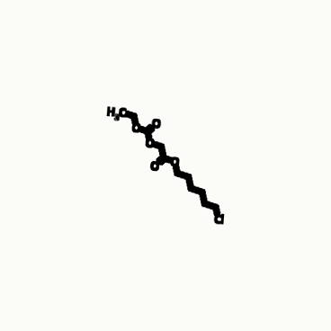 CCOC(=O)OCC(=O)OCCCCCCCl